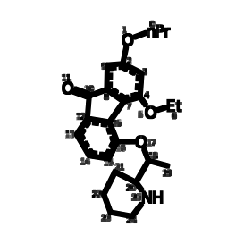 CCCOc1cc(OCC)c2c(c1)C(=O)c1cccc(OC(C)C3CCCCN3)c1-2